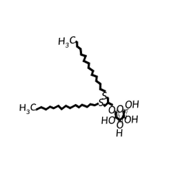 CCCCCCCCCCCCCCCCSCC(CO[C@H]1O[C@H](CO)[C@H](O)[C@H](O)[C@H]1O)CSCCCCCCCCCCCCCCCC